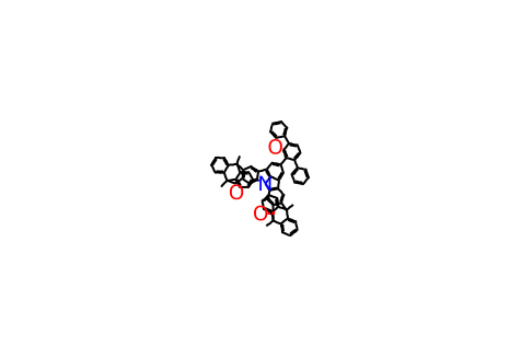 CC12C(=O)c3cc4c(cc3C(C)(c3ccccc31)c1ccccc12)c1cc(-c2c(-c3ccccc3)ccc3c2oc2ccccc23)cc2c3cc5c(cc3n4c12)C(=O)C1(C)c2ccccc2C5(C)c2ccccc21